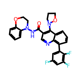 O=C(NN1CCOc2ccccc21)c1cnc2c(-c3cc(F)cc(F)c3F)cccc2c1N1CCCO1